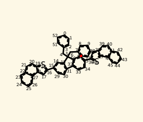 c1ccc(CC2(Cc3ccccc3)c3cc(-c4cc5c(ccc6ccccc65)s4)ccc3-c3ccc(-c4cc5ccc6ccccc6c5s4)cc32)cc1